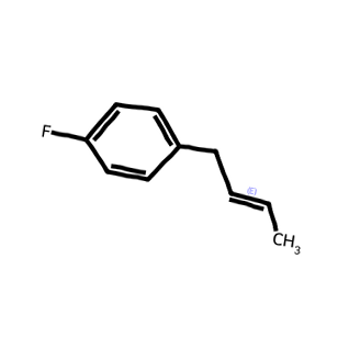 C/C=C/Cc1ccc(F)cc1